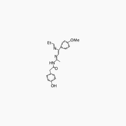 CC/C=N/C(=C\N=C(/C)NC(=O)Cc1ccc(O)cc1)c1ccc(OC)cc1